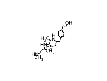 C=C(CCNC)NCC(=C)NC(CS)Cc1ccc(CCO)cc1